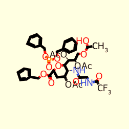 CC(=O)OC1C[C@@](OP(OCc2ccccc2)OCc2ccccc2)(C(=O)OCc2ccccc2)OC([C@H](OC(C)=O)[C@@H](COC(C)O)OC(C)=O)[C@@H]1NC(=O)CNC(=O)C(F)(F)F